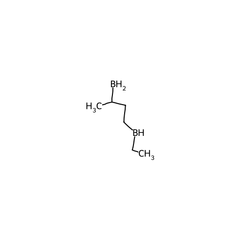 BC(C)CCBCC